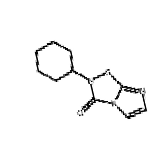 O=c1n(C2CCCCC2)sc2nccn12